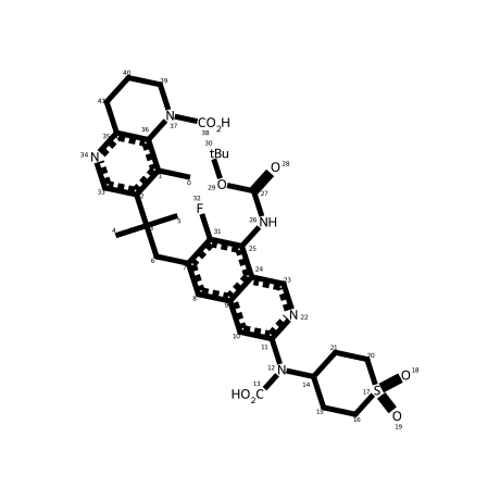 Cc1c(C(C)(C)Cc2cc3cc(N(C(=O)O)C4CCS(=O)(=O)CC4)ncc3c(NC(=O)OC(C)(C)C)c2F)cnc2c1N(C(=O)O)CCC2